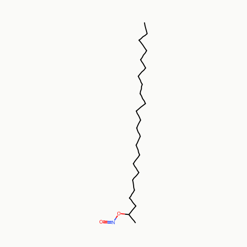 CCCCCCCCCCCCCCCCCCCCCCC(C)ON=O